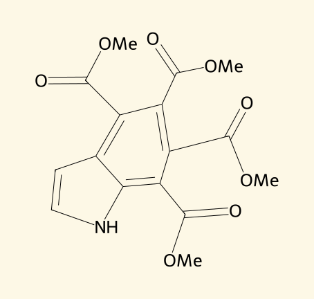 COC(=O)c1c(C(=O)OC)c(C(=O)OC)c2[nH]ccc2c1C(=O)OC